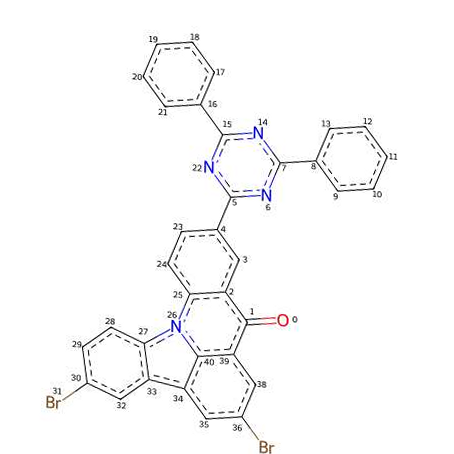 O=c1c2cc(-c3nc(-c4ccccc4)nc(-c4ccccc4)n3)ccc2n2c3ccc(Br)cc3c3cc(Br)cc1c32